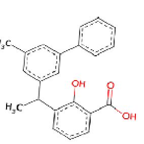 Cc1cc(-c2ccccc2)cc(C(C)c2cccc(C(=O)O)c2O)c1